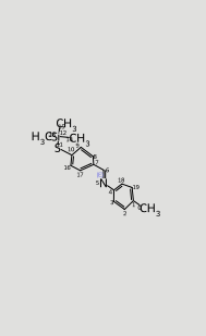 Cc1ccc(/N=C/c2ccc(S[Si](C)(C)C)cc2)cc1